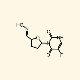 O=c1[nH]cc(F)c(=O)n1C1CCC(C=NO)O1